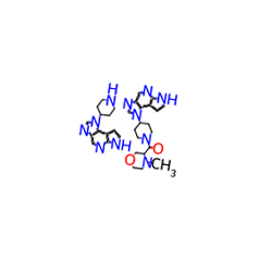 CN1CCOCC1C(=O)N1CCC(n2cnc3cnc4[nH]ccc4c32)CC1.c1cc2c(ncc3ncn(C4CCNCC4)c32)[nH]1